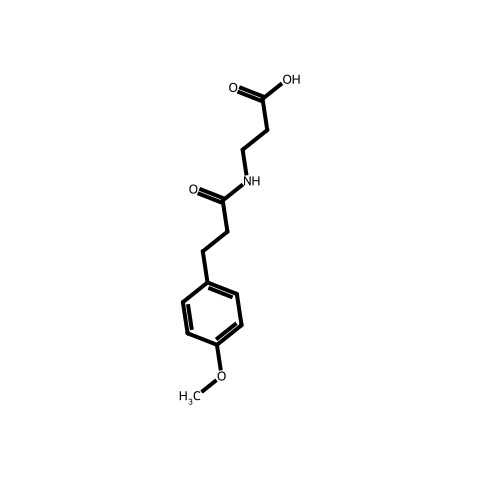 COc1ccc(CCC(=O)NCCC(=O)O)cc1